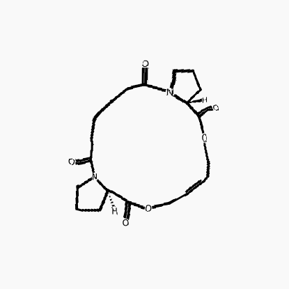 O=C1OCC=CCOC(=O)[C@H]2CCCN2C(=O)CCCCC(=O)N2CCC[C@H]12